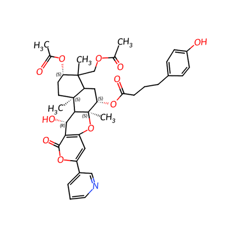 CC(=O)OCC1(C)C2C[C@H](OC(=O)CCCc3ccc(O)cc3)[C@@]3(C)Oc4cc(-c5cccnc5)oc(=O)c4[C@H](O)C3[C@@]2(C)CC[C@@H]1OC(C)=O